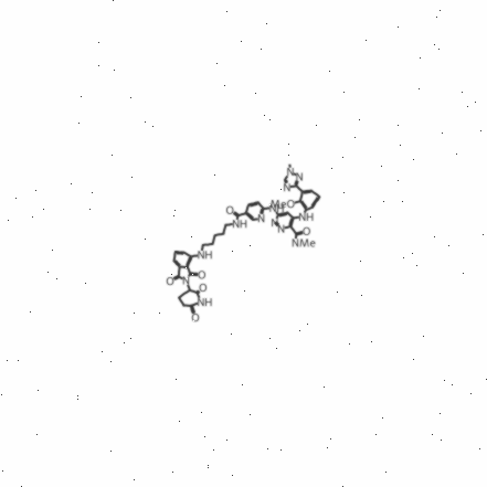 CNC(=O)c1nnc(Nc2ccc(C(=O)NCCCCCNc3cccc4c3C(=O)N(C3CCC(=O)NC3=O)C4=O)cn2)cc1Nc1cccc(-c2ncn(C)n2)c1OC